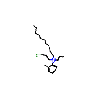 CCCCCCCCCC[N+](CCC)(CCC)c1ccccc1C.[Cl-]